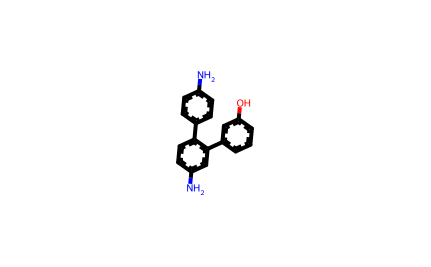 Nc1ccc(-c2ccc(N)cc2-c2cccc(O)c2)cc1